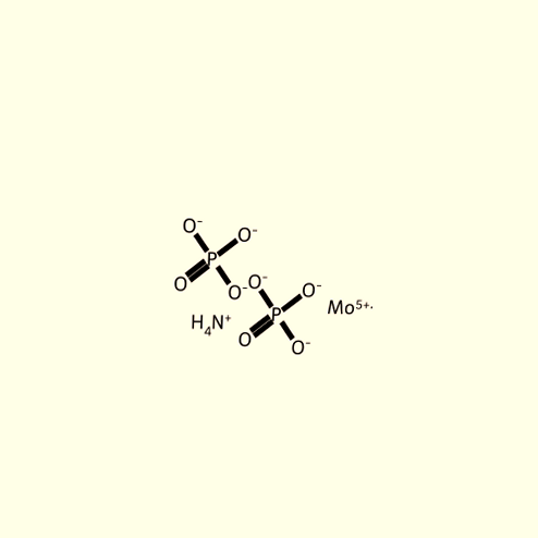 O=P([O-])([O-])[O-].O=P([O-])([O-])[O-].[Mo+5].[NH4+]